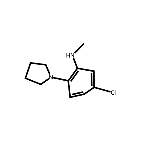 CNc1cc(Cl)ccc1N1CCCC1